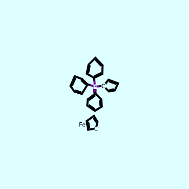 [Fe+2].c1cc[cH-]c1.c1ccc([PH](c2ccccc2)(c2ccccc2)[c-]2cccc2)cc1